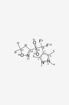 Cc1nn(C)c(C)c1C(F)(F)S(=O)(=O)C1=NOC(C)(C)C1